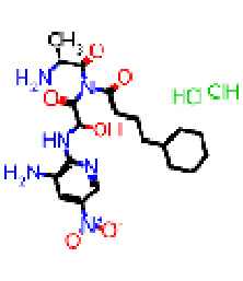 C[C@H](N)C(=O)N(C(=O)CCCC1CCCCC1)C(=O)C(O)Nc1ncc([N+](=O)[O-])cc1N.Cl.Cl